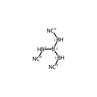 N#CBB(BC#N)BC#N